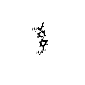 CC[C](N)N1CCN(c2ccc(CN)cc2)CC1